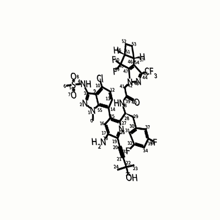 Cn1nc(NS(C)(=O)=O)c2c(Cl)ccc(-c3cc(N)c(C#CC(C)(C)O)nc3[C@H](Cc3cc(F)cc(F)c3)NC(=O)Cn3nc(C(F)(F)F)c4c3C(F)(F)[C@@H]3CC[C@H]43)c21